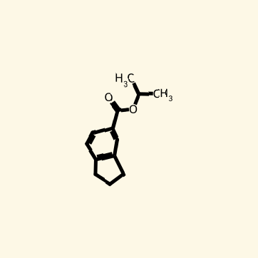 CC(C)OC(=O)c1ccc2c(c1)CCC2